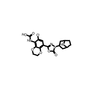 O=C(O)Nc1c(Cl)cc(-c2nn(C3CC4CCC(C3)N4)c(=O)o2)c2c1OCCO2